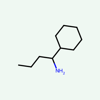 CCCC(N)C1CCCCC1